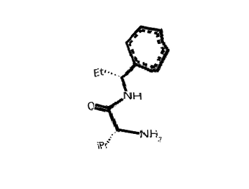 CC[C@@H](NC(=O)[C@H](N)C(C)C)c1ccccc1